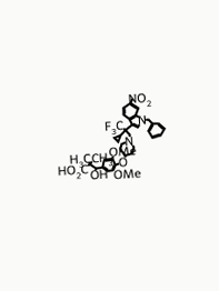 COc1cc(C(O)C(C)(C)C(=O)O)cc(OC)c1OC1CCN(CC(c2cn(Cc3ccccc3)c3cc([N+](=O)[O-])ccc23)(C2CC2)C(F)(F)F)CC1